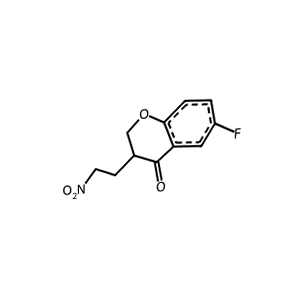 O=C1c2cc(F)ccc2OCC1CC[N+](=O)[O-]